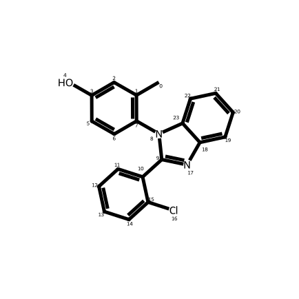 Cc1cc(O)ccc1-n1c(-c2ccccc2Cl)nc2ccccc21